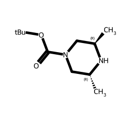 C[C@@H]1CN(C(=O)OC(C)(C)C)C[C@@H](C)N1